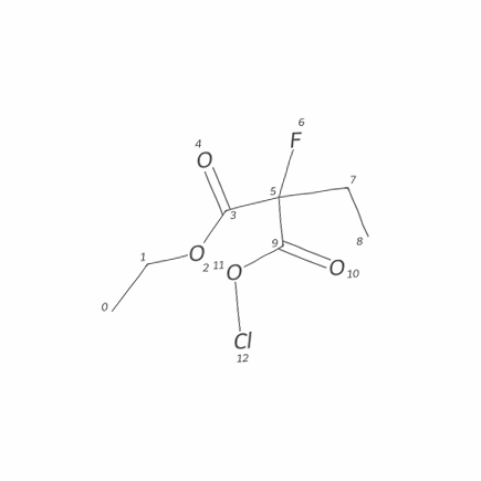 CCOC(=O)C(F)(CC)C(=O)OCl